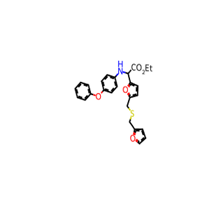 CCOC(=O)C(Nc1ccc(Oc2ccccc2)cc1)c1ccc(CSCc2ccco2)o1